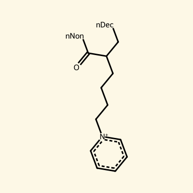 CCCCCCCCCCCC(CCCC[n+]1ccccc1)C(=O)CCCCCCCCC